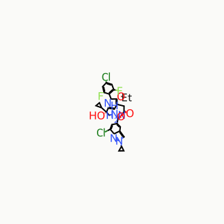 CCOc1c(CC(N)=O)cc([C@@](O)(CNC(=O)c2cc(Cl)c3nn(C4CC4)cc3c2)C2CC2)nc1-c1c(F)cc(Cl)cc1F